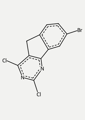 Clc1nc(Cl)c2c(n1)-c1cc(Br)ccc1C2